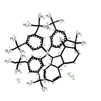 CC(C)(C)c1cc(C(C)(C)C)cc([Si](c2cc(C(C)(C)C)cc(C(C)(C)C)c2)(c2cc(C(C)(C)C)cc(C(C)(C)C)c2)C2C3C=CC=CC3C3CCC[CH]([Ti+3])C32)c1.[Cl-].[Cl-].[Cl-]